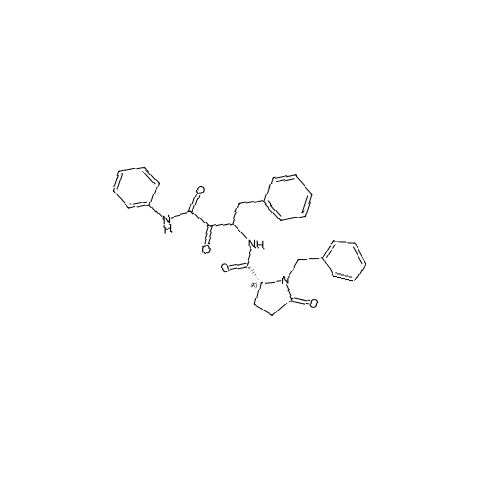 O=C(Nc1ccccc1)C(=O)C(Cc1ccccc1)NC(=O)[C@H]1CCC(=O)N1Cc1ccccc1